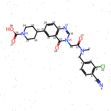 CN(Cc1ccc(C#N)c(Cl)c1)C(=O)Cn1cnc2ccc(C3CCN(C(=O)O)CC3)cc2c1=O